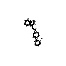 Clc1cccnc1N1CCN(CCc2c[nH]c3ccccc23)CC1